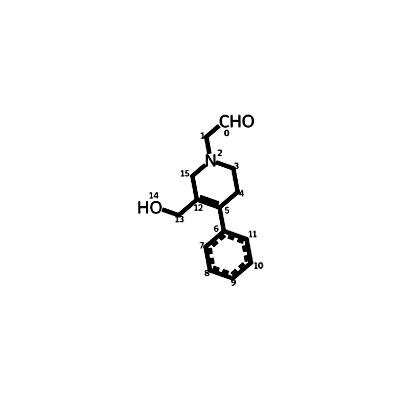 O=CCN1CCC(c2ccccc2)=C(CO)C1